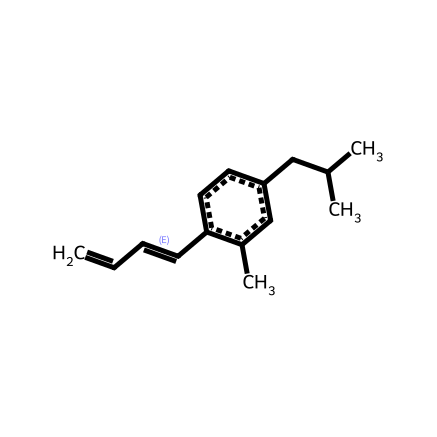 C=C/C=C/c1ccc(CC(C)C)cc1C